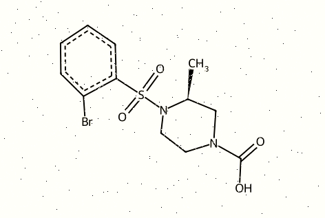 C[C@H]1CN(C(=O)O)CCN1S(=O)(=O)c1ccccc1Br